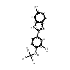 Fc1ccc2sc(-c3ccc(OC(F)(F)F)c(Cl)c3)nc2c1